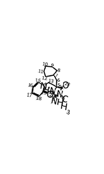 CN1C(=N)NC(CC2CCCCC2)(Cn2ccccc2=O)C1=O